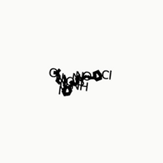 CC(=O)N1CCN(c2ncccc2C(=O)Nc2nnc(OCc3ccc(Cl)cc3)s2)CC1